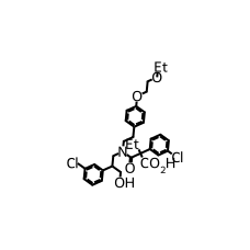 CCOCCOc1ccc(CCN(CC(CO)c2cccc(Cl)c2)C(=O)C(CC)(C(=O)O)c2cccc(Cl)c2)cc1